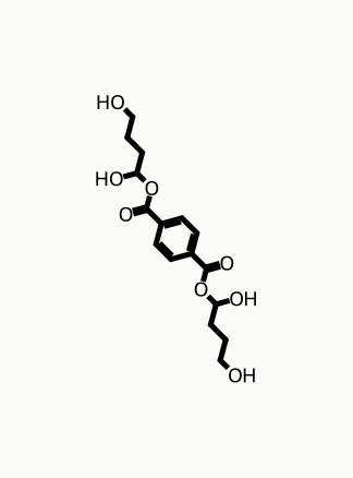 O=C(OC(O)CCCO)c1ccc(C(=O)OC(O)CCCO)cc1